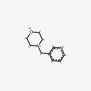 [c]1ncccc1CN1CCOCC1